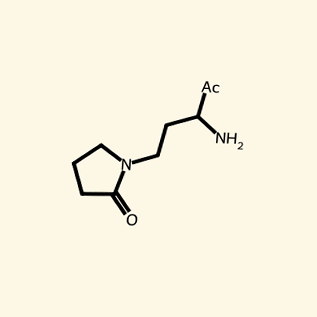 CC(=O)C(N)CCN1CCCC1=O